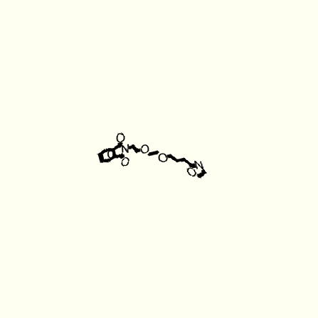 O=C1C2C3C=CC(O3)C2C(=O)N1CCOCCOCCCC1=NCCO1